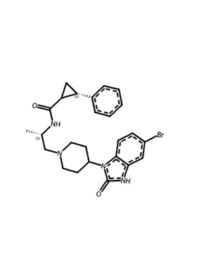 C[C@@H](CN1CCC(n2c(=O)[nH]c3cc(Br)ccc32)CC1)NC(=O)C1C[C@@H]1c1ccccc1